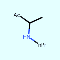 CCCNC(C)C(C)=O